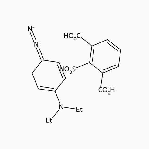 CCN(CC)C1=CCC(=[N+]=[N-])C=C1.O=C(O)c1cccc(C(=O)O)c1S(=O)(=O)O